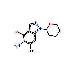 CCc1cc2c(cnn2C2CCCCO2)c(Br)c1N